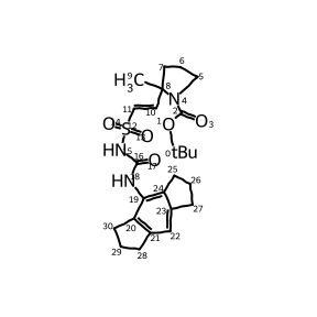 CC(C)(C)OC(=O)N1CCCC1(C)C=CS(=O)(=O)NC(=O)Nc1c2c(cc3c1CCC3)CCC2